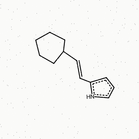 C(=C\C1CCCCC1)/c1ccc[nH]1